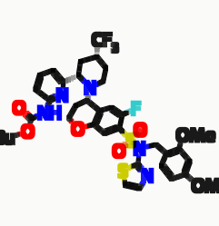 COc1ccc(CN(c2nccs2)S(=O)(=O)c2cc3c(cc2F)[C@@H](N2CC[C@@H](C(F)(F)F)C[C@H]2c2cccc(NC(=O)OC(C)(C)C)n2)CCO3)c(OC)c1